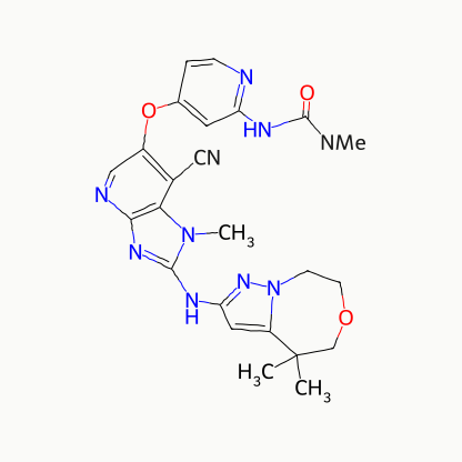 CNC(=O)Nc1cc(Oc2cnc3nc(Nc4cc5n(n4)CCOCC5(C)C)n(C)c3c2C#N)ccn1